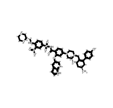 C[C@H]1CCC(CN2CCN(c3ccc(C(=O)NS(=O)(=O)c4ccc(NC[C@H]5COCCO5)c([N+](=O)[O-])c4)c(Oc4cnc5[nH]ccc5c4)c3)C[C@H]2C)=C(c2ccc(Cl)cc2)C1